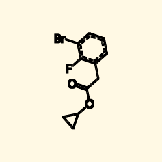 O=C(Cc1cccc(Br)c1F)OC1CC1